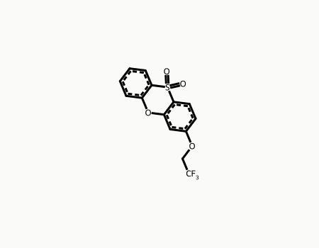 O=S1(=O)c2ccccc2Oc2cc(OCC(F)(F)F)ccc21